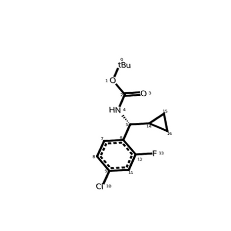 CC(C)(C)OC(=O)N[C@@H](c1ccc(Cl)cc1F)C1CC1